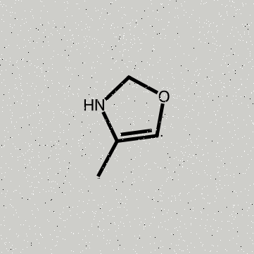 CC1=[C]OCN1